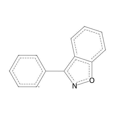 [c]1ccccc1-c1noc2ccccc12